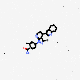 Cc1cc(-n2nc(C(C)C)c3c(-c4cnc5ccccc5c4)ccnc32)ccc1C(N)=O